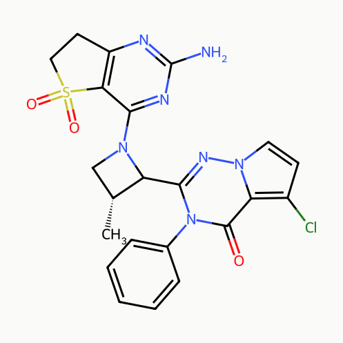 C[C@@H]1CN(c2nc(N)nc3c2S(=O)(=O)CC3)C1c1nn2ccc(Cl)c2c(=O)n1-c1ccccc1